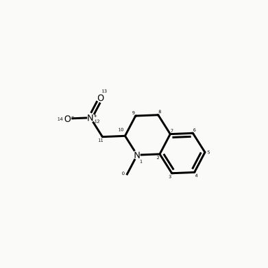 CN1c2ccccc2CCC1C[N+](=O)[O-]